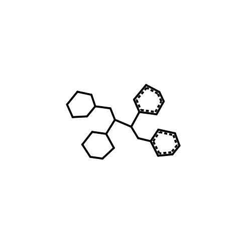 c1ccc(CC(c2ccccc2)C(CC2CCCCC2)C2CCCCC2)cc1